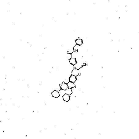 C#CCN(Cc1cc2c(=O)n(CC(=O)N3CCCCC3)c(CN3CCCCC3)nc2cc1Cl)c1ccc(C(=O)NCc2cccnc2)cc1